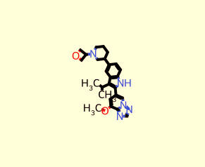 COc1cc(-c2[nH]c3ccc(C4CCCN(C5COC5)C4)cc3c2C(C)C)cn2ncnc12